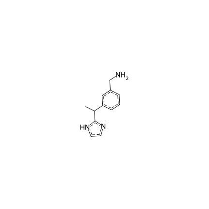 CC(c1cccc(CN)c1)c1ncc[nH]1